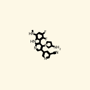 CNc1cc(F)c(F)c2c1[nH]c1ncc(-c3cncc(C#N)c3)c(N3CCC(N)C3)c12